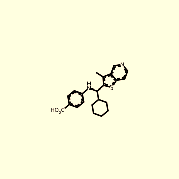 Cc1c(C(Nc2ccc(C(=O)O)cc2)C2CCCCC2)sc2ccncc12